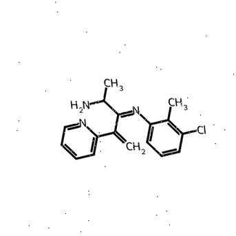 C=C(/C(=N\c1cccc(Cl)c1C)C(C)N)c1ccccn1